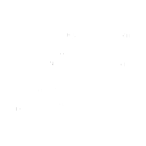 CCOC(=O)c1cc(-c2cc(Cl)c(C)cc2C)on1